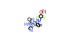 CCOc1cc(F)c(Cn2nc(-c3nc4c(c(Nc5ccncc5OC)n3)CCC4)c3ccccc32)c(F)c1